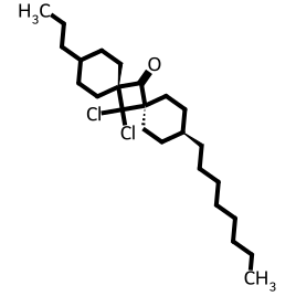 CCCCCCCC[C@H]1CC[C@@]2(CC1)C(=O)[C@]1(CCC(CCC)CC1)C2(Cl)Cl